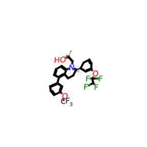 C[C@@H](O)CN1c2cccc(-c3cccc(OC(F)(F)F)c3)c2CC[C@@H]1C1C=C(OC(F)(F)C(F)F)C=CC1